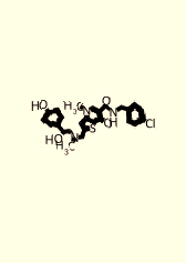 CN(Cc1cc2c(s1)c(=O)c(C(=O)NCc1ccc(Cl)cc1)cn2C)CC(O)c1ccc(O)cc1